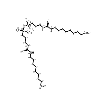 CCCCCCCCCCCCCCCCCCNC(=O)NCCC[Si](C)(C)O[Si](C)(C)CCCNC(=O)NCCCCCCCCCCCCCCCCCC